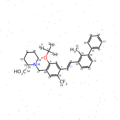 [2H]C([2H])([2H])Oc1cc(/C=C/c2cccc(-c3ccccc3)c2C)c(C(F)(F)F)cc1CN1CCCC[C@H]1C(=O)O